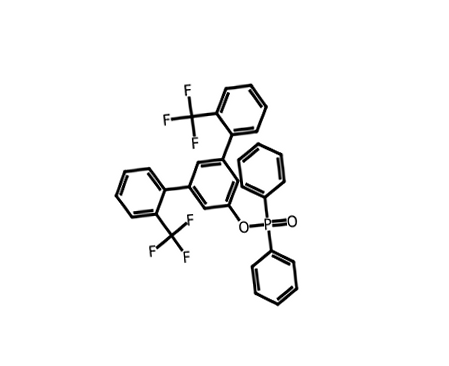 O=P(Oc1cc(-c2ccccc2C(F)(F)F)cc(-c2ccccc2C(F)(F)F)c1)(c1ccccc1)c1ccccc1